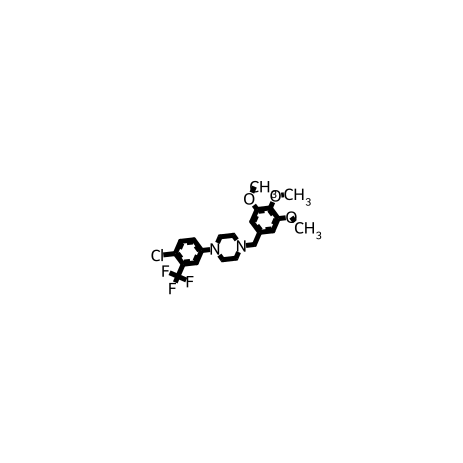 COc1cc(CN2CCN(c3ccc(Cl)c(C(F)(F)F)c3)CC2)cc(OC)c1OC